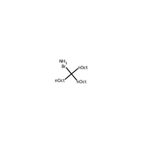 CCCCCCCCC(Br)(CCCCCCCC)CCCCCCCC.N